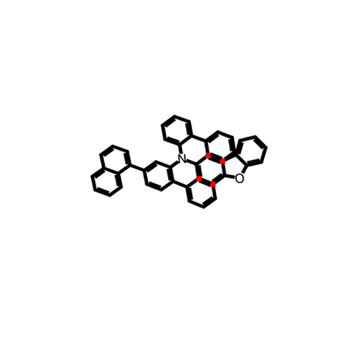 c1ccc(-c2ccccc2N(c2ccc3oc4ccccc4c3c2)c2cc(-c3cccc4ccccc34)ccc2-c2ccccc2)cc1